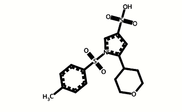 Cc1ccc(S(=O)(=O)n2cc(S(=O)(=O)O)cc2C2CCOCC2)cc1